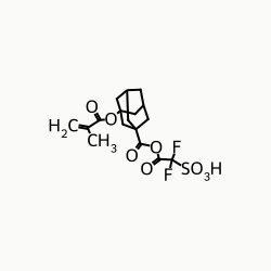 C=C(C)C(=O)OC12CC3CC(C1)CC(C(=O)OC(=O)C(F)(F)S(=O)(=O)O)(C3)C2